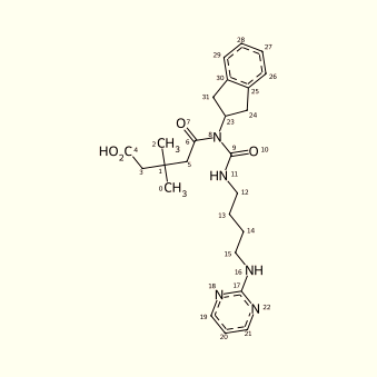 CC(C)(CC(=O)O)CC(=O)N(C(=O)NCCCCNc1ncccn1)C1Cc2ccccc2C1